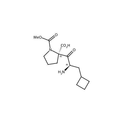 COC(=O)N1CCC[C@]1(C(=O)O)C(=O)[C@H](N)CC1CCC1